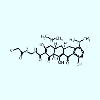 CN(C)c1ccc(O)c2c1C[C@@H]1C[C@H]3[C@@H](N(C)C)C(O)=C(C(=O)NCNC(=O)CCl)C(=O)[C@@]3(O)C(O)=C1C2=O